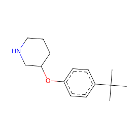 CC(C)(C)c1ccc(OC2CCCNC2)cc1